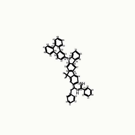 CC1(C)c2cc(C(Cc3ccccc3)NC(=N)c3ccccc3)ccc2-c2cc3c4ccccc4n(-c4ccc5c6ccccc6c6ccccc6c5c4)c3cc21